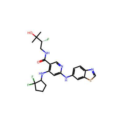 CC(C)(O)[C@H](F)CNC(=O)c1cnc(Nc2ccc3ncsc3c2)cc1NC1CCCC1(F)F